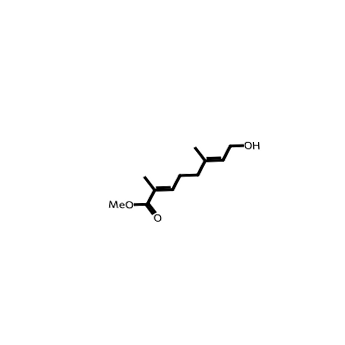 COC(=O)/C(C)=C/CC/C(C)=C/CO